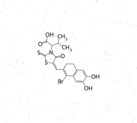 CC(C)C(C(=O)O)N1C(=O)/C(=C\C2=C(Br)c3cc(O)c(O)cc3CC2)SC1=S